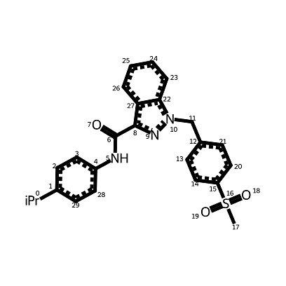 CC(C)c1ccc(NC(=O)c2nn(Cc3ccc(S(C)(=O)=O)cc3)c3ccccc23)cc1